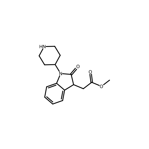 COC(=O)CC1C(=O)N(C2CCNCC2)c2ccccc21